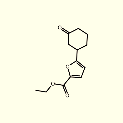 CCOC(=O)c1ccc(C2CCCC(=O)C2)o1